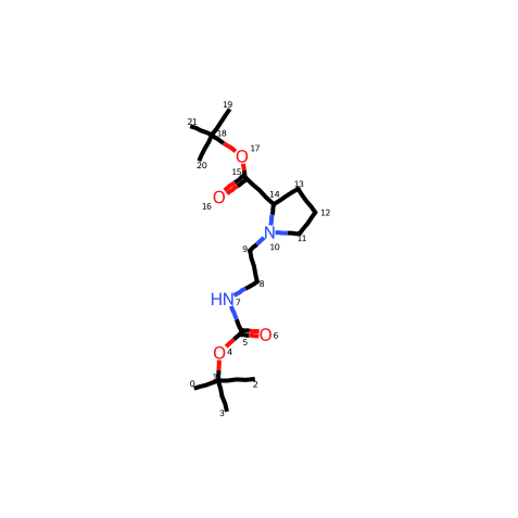 CC(C)(C)OC(=O)NCCN1CCCC1C(=O)OC(C)(C)C